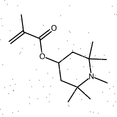 C=C(C)C(=O)OC1[CH]C(C)(C)N(C)C(C)(C)C1